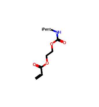 C=CC(=O)OCCOC(=O)NC(C)CCC